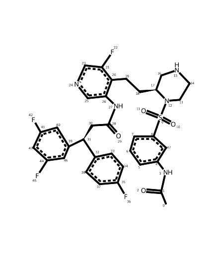 CC(=O)Nc1cccc(S(=O)(=O)N2CCNC[C@@H]2CCc2c(F)cncc2NC(=O)C[C@@H](c2ccc(F)cc2)c2cc(F)cc(F)c2)c1